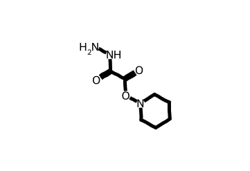 NNC(=O)C(=O)ON1CCCCC1